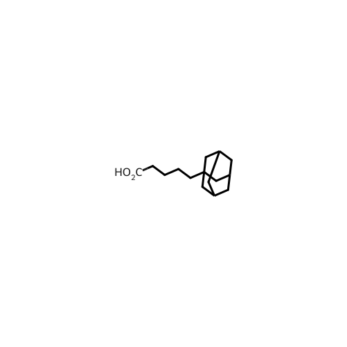 O=C(O)CCCCC12CC3CC(CC(C3)C1)C2